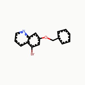 Brc1cc(OCc2ccccc2)cc2ncccc12